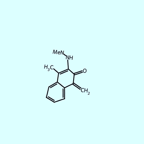 C=C1C(=O)C(NNC)=C(C)c2ccccc21